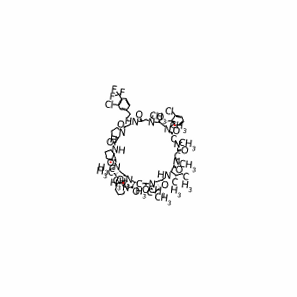 CC[C@H](C)[C@@H]1NC(=O)[C@H](CC(C)C)N(C)C(=O)C[C@@H](C(=O)N2CCCCC2)N(C)C(=O)[C@H](C(C)C)N(C)C(=O)C2(CCCC2)NC(=O)[C@@H]2CCCN2C(=O)[C@H](CCc2ccc(C(F)(F)F)c(Cl)c2)NC(=O)CN(C)C(=O)[C@H](Cc2ccccc2Cl)N(C)C(=O)CN(C)C(=O)CN(C)C1=O